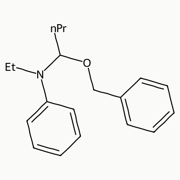 CCCC(OCc1ccccc1)N(CC)c1ccccc1